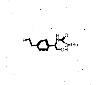 CC(C)(C)OC(=O)NC(CO)c1ccc(CCF)cc1